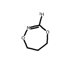 [2H]C1=NOCCCO1